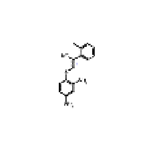 Cc1ccccc1/C(C#N)=C/Sc1ccc(N)cc1N